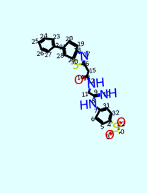 CS(=O)(=O)c1ccc(NC(=N)CNC(=O)Cc2nc3ccc(-c4ccccc4)cc3s2)cc1